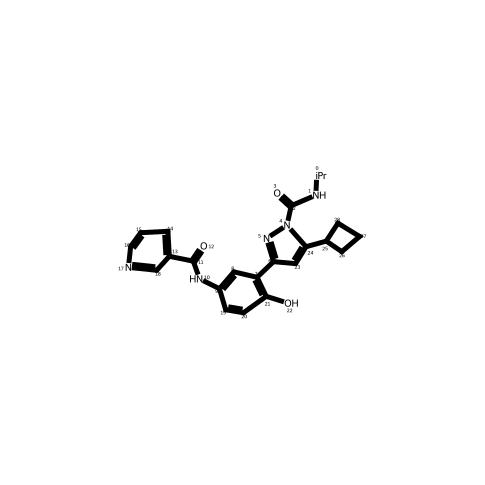 CC(C)NC(=O)n1nc(-c2cc(NC(=O)c3cccnc3)ccc2O)cc1C1CCC1